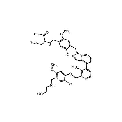 COc1cc(OCc2cccc(-c3cccc4c3cnn4Cc3cc(OC)c(CNC(CO)C(=O)O)cc3Cl)c2C)c(Cl)cc1CNCCO